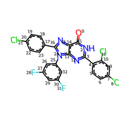 O=c1[nH]c(-c2ccc(Cl)cc2Cl)nc2c1nc(-c1ccc(Cl)cc1)n2-c1cc(F)cc(F)c1